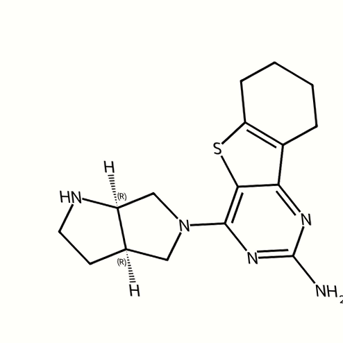 Nc1nc(N2C[C@H]3CCN[C@H]3C2)c2sc3c(c2n1)CCCC3